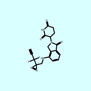 C#CC(F)(F)C1(CNc2cccc3c2CN(C2CCC(=O)NC2=O)C3=O)N=N1